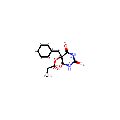 CCC(=O)OC1(CC2CCCCC2)C(=O)NC(=O)NC1=O